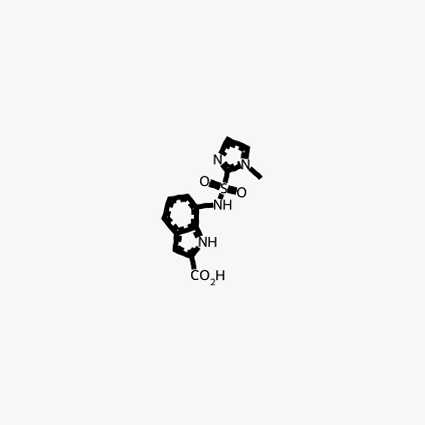 Cn1ccnc1S(=O)(=O)Nc1cccc2cc(C(=O)O)[nH]c12